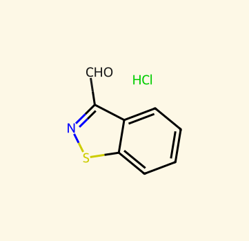 Cl.O=Cc1nsc2ccccc12